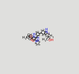 CC(C)(CO)Cc1c(I)[nH]c2ccc(-c3cccc(C[C@H](NC(=O)OC(C)(C)C)C(=O)N4CCCCN4)c3)cc12